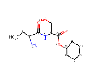 NC(CC(=O)O)C(=O)NC(CO)C(=O)OC1CCCCC1